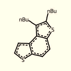 CCCCc1sc2ccc3sccc3c2c1CCCC